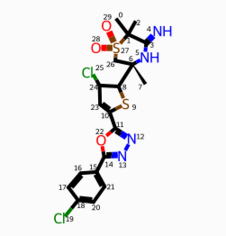 CC1(C)C(=N)N[C@](C)(C2SC(c3nnc(-c4ccc(Cl)cc4)o3)=CC2Cl)CS1(=O)=O